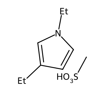 CCc1ccn(CC)c1.CS(=O)(=O)O